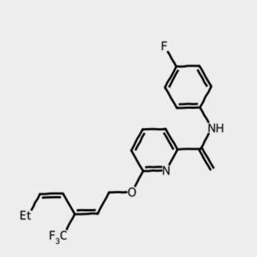 C=C(Nc1ccc(F)cc1)c1cccc(OC/C=C(\C=C/CC)C(F)(F)F)n1